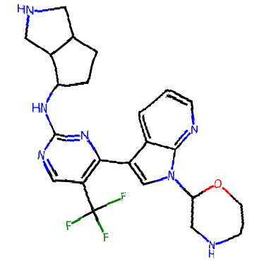 FC(F)(F)c1cnc(NC2CCC3CNCC32)nc1-c1cn(C2CNCCO2)c2ncccc12